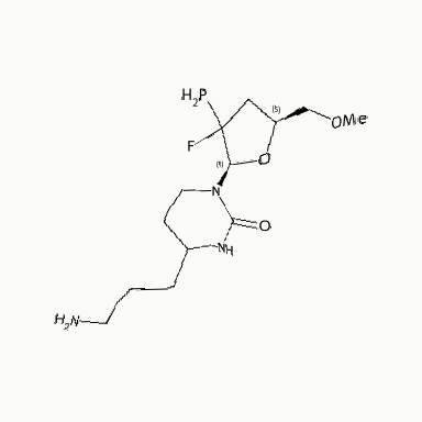 COC[C@@H]1CC(F)(P)[C@H](N2CCC(CCCN)NC2=O)O1